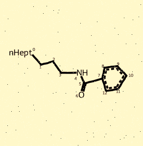 CCCCCCCCCCNC(=O)c1ccccc1